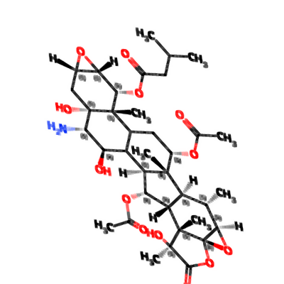 CC(=O)O[C@H]1[C@@H]2[C@H]([C@H](C)[C@H]3O[C@]34OC(=O)[C@@](C)(O)[C@]24C)[C@@]2(C)[C@@H](OC(C)=O)CC3C([C@@H](O)[C@H](N)[C@@]4(O)C[C@@H]5O[C@@H]5[C@H](OC(=O)CC(C)C)[C@]34C)[C@H]12